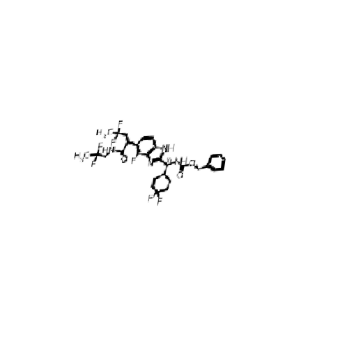 CC(F)(F)CNC(=O)C(CC(C)(F)F)c1ccc2[nH]c([C@@H](NC(=O)OCc3ccccc3)C3CCC(F)(F)CC3)nc2c1F